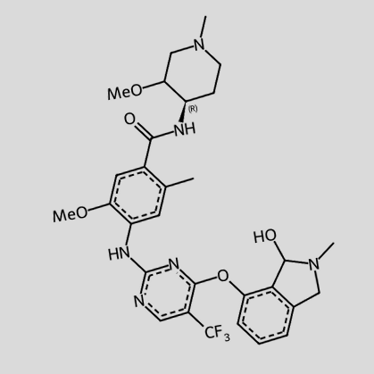 COc1cc(C(=O)N[C@@H]2CCN(C)CC2OC)c(C)cc1Nc1ncc(C(F)(F)F)c(Oc2cccc3c2C(O)N(C)C3)n1